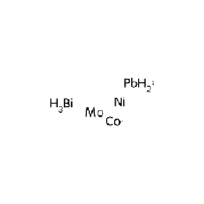 [BiH3].[Co].[Mo].[Ni].[PbH2]